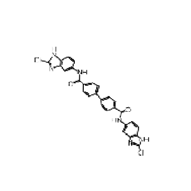 O=C(Nc1ccc2[nH]c(Cl)nc2c1)c1ccc(-c2ccc(C(=O)Nc3ccc4[nH]c(Cl)nc4c3)cc2)cc1